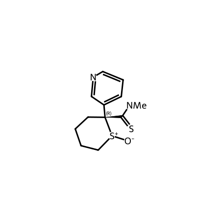 CNC(=S)[C@]1(c2cccnc2)CCCC[S+]1[O-]